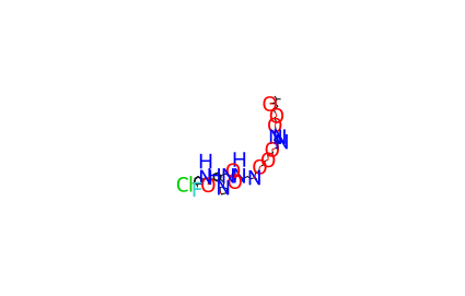 CC(C)C(=O)CCOCCOCCn1cc(COCCOCCOCCN(C)CCCNC(=O)C(=O)NCc2ccc(C(=O)Nc3ccc(Cl)c(F)c3)cc2CN2CCCCC2)nn1